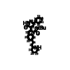 CC(C)(C)OC(=O)n1c(-c2cc(-c3ccncc3)n[nH]c2=O)cc2ccc(CCC3CCCCN3)cc21